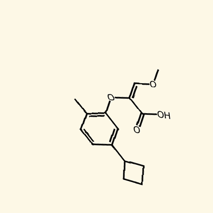 COC=C(Oc1cc(C2CCC2)ccc1C)C(=O)O